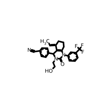 CC=C1CCCC2=C1C(c1ccc(C#N)cc1)N(CCO)C(=O)N2c1cccc(C(F)(F)F)c1